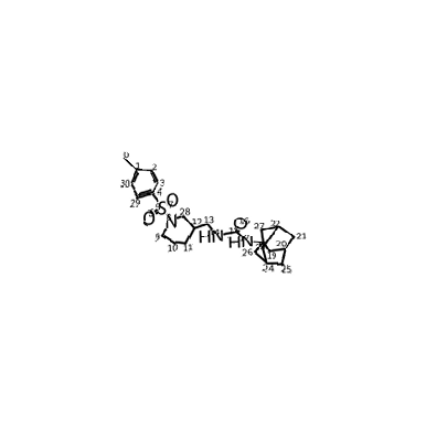 Cc1ccc(S(=O)(=O)N2CCCC(CNC(=O)NC34CC5CC(CC(C5)C3)C4)C2)cc1